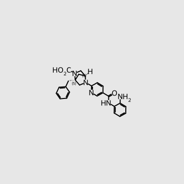 Nc1ccccc1NC(=O)c1ccc(N2C[C@]3(Cc4ccccc4)C[C@H]2CN3C(=O)O)nc1